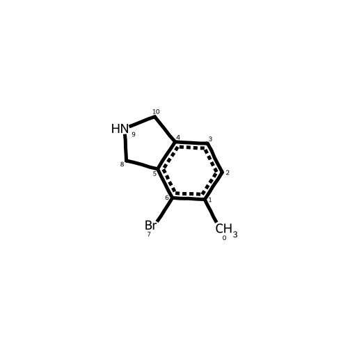 Cc1ccc2c(c1Br)CNC2